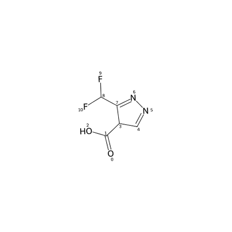 O=C(O)C1C=NN=C1C(F)F